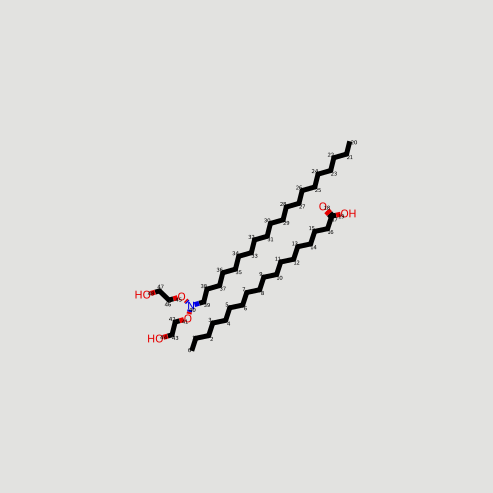 CCCCCCCCCCCCCCCCCC(=O)O.CCCCCCCCCCCCCCCCCCCCN(OCCO)OCCO